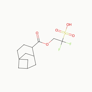 O=C(OCC(F)(F)S(=O)(=O)O)C1CCC23CC(CC1C2)C3